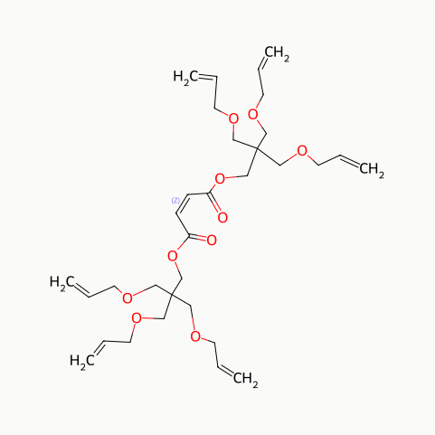 C=CCOCC(COCC=C)(COCC=C)COC(=O)/C=C\C(=O)OCC(COCC=C)(COCC=C)COCC=C